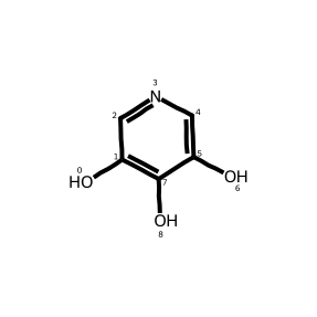 Oc1cncc(O)c1O